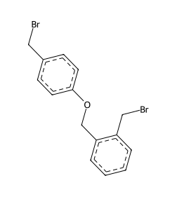 BrCc1ccc(OCc2ccccc2CBr)cc1